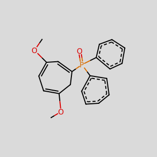 COC1=CC=C(OC)CC(P(=O)(c2ccccc2)c2ccccc2)=C1